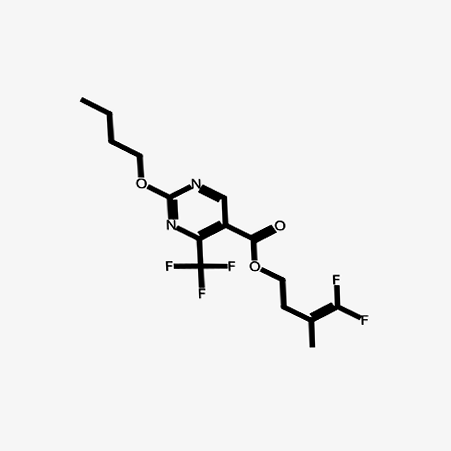 CCCCOc1ncc(C(=O)OCCC(C)=C(F)F)c(C(F)(F)F)n1